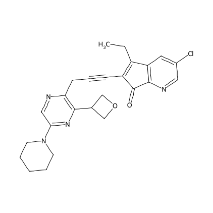 CCC1=C(C#CCc2ncc(N3CCCCC3)nc2C2COC2)C(=O)c2ncc(Cl)cc21